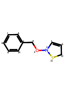 C1=CN(OCc2ccccc2)SC1